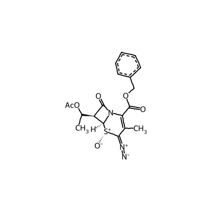 CC(=O)OC(C)[C@H]1C(=O)N2C(C(=O)OCc3ccccc3)=C(C)C(=[N+]=[N-])[S@+]([O-])[C@@H]12